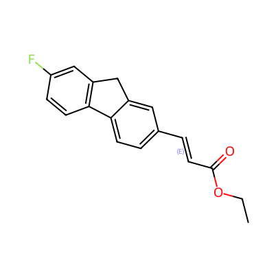 CCOC(=O)/C=C/c1ccc2c(c1)Cc1cc(F)ccc1-2